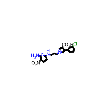 Nc1nc(NCCCn2cc(C(=O)O)c(-c3cccc(Cl)c3)c2)ccc1[N+](=O)[O-]